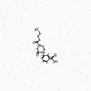 CC(C)CCCC(=O)N1CCN(c2cccc(C(=O)C(C)C)c2)C(=O)C1